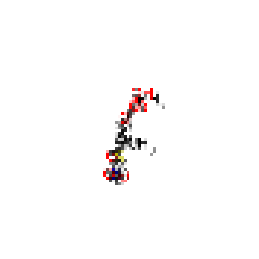 C=C(CO)C(=O)OCCCOc1ccc(-c2ccc(/C=C/C(=O)Sc3ccc(N4C(=O)C=CC4=O)cc3)c(CC)c2)cc1